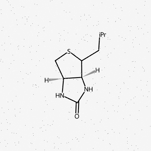 CC(C)CC1SC[C@@H]2NC(=O)N[C@H]12